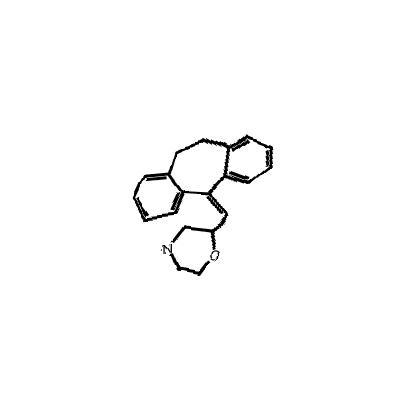 C(=C1c2ccccc2CCc2ccccc21)C1C[N]CCO1